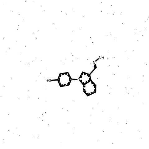 O/N=C/c1cn(-c2ccc(O)cc2)c2ccccc12